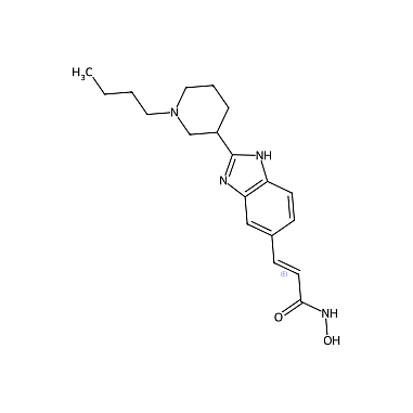 CCCCN1CCCC(c2nc3cc(/C=C/C(=O)NO)ccc3[nH]2)C1